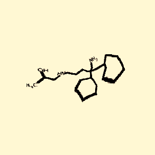 CC(O)CNCCC(N)(C1CCCCC1)C1CCCCC1